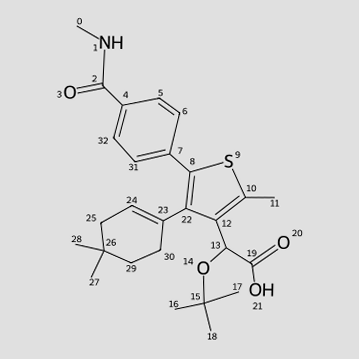 CNC(=O)c1ccc(-c2sc(C)c(C(OC(C)(C)C)C(=O)O)c2C2=CCC(C)(C)CC2)cc1